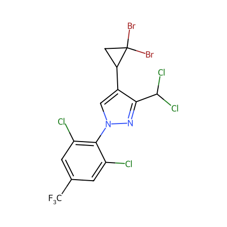 FC(F)(F)c1cc(Cl)c(-n2cc(C3CC3(Br)Br)c(C(Cl)Cl)n2)c(Cl)c1